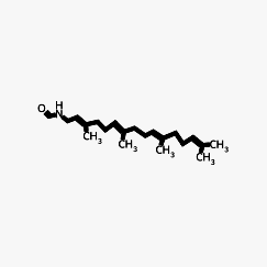 CC(C)=CCC/C(C)=C/CC/C(C)=C/CC/C(C)=C/CNC=O